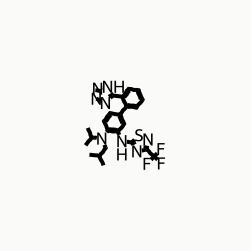 CC(C)CN(c1ccc(-c2ccccc2-c2nnn[nH]2)cc1Nc1nc(C(F)(F)F)ns1)C(C)C